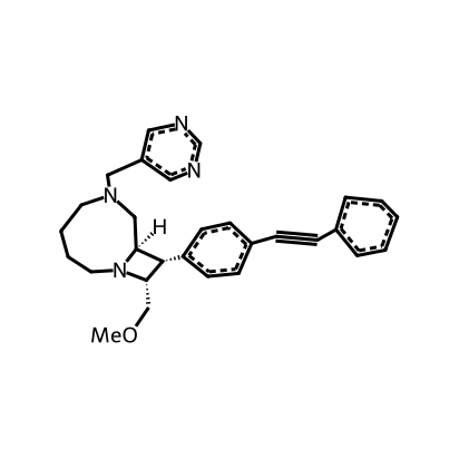 COC[C@H]1[C@@H](c2ccc(C#Cc3ccccc3)cc2)[C@@H]2CN(Cc3cncnc3)CCCCN12